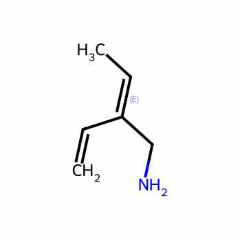 C=C/C(=C\C)CN